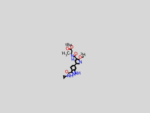 [2H]COc1ncc(-c2ccc3c(C(=O)NC4CC4)n[nH]c3c2)cc1C(=O)N[C@H](C)CC(=O)OC(C)(C)C